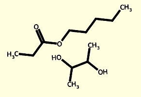 CC(O)C(C)O.CCCCCOC(=O)CC